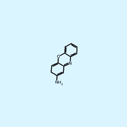 NC1=CC2=Nc3ccccc3OC2=CC1